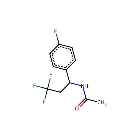 CC(=O)NC(CC(F)(F)F)c1ccc(F)cc1